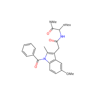 CCCCCCC(NC(=O)Cc1c(C)n(C(=O)c2ccccc2)c2ccc(OC)cc12)C(=O)NC